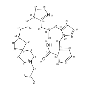 CC(C)CN1CCC2(CC1)CCN(CCCn1ccnc1CN(C)Cc1nccn1Cc1ccccc1C(=O)O)C2